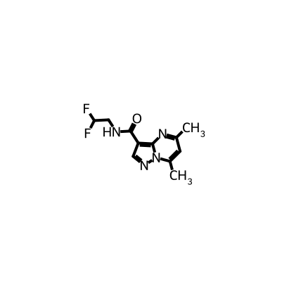 Cc1cc(C)n2ncc(C(=O)NCC(F)F)c2n1